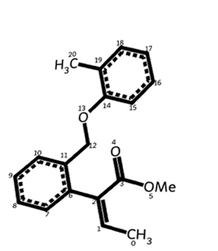 C/C=C(\C(=O)OC)c1ccccc1COc1ccccc1C